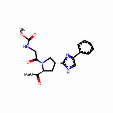 COC(=O)[C@@H]1C[C@@H](c2nc(-c3ccccc3)c[nH]2)CN1C(=O)CNC(=O)OC(C)(C)C